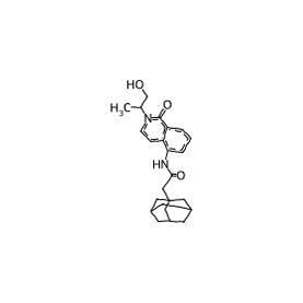 CC(CO)n1ccc2c(NC(=O)CC34CC5CC(CC(C5)C3)C4)cccc2c1=O